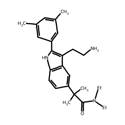 CCN(CC)C(=O)C(C)(C)c1ccc2[nH]c(-c3cc(C)cc(C)c3)c(CCN)c2c1